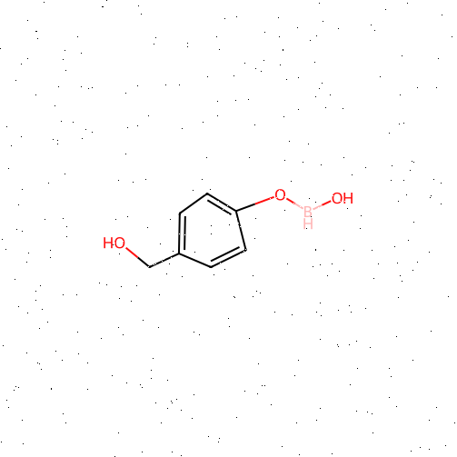 OBOc1ccc(CO)cc1